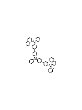 CC1C=CCCC1N(c1ccc(-c2ccc(N(c3ccccc3)c3ccc(-c4ccc(N(c5ccccc5)c5cccc6ccccc56)cc4)cc3)cc2)cc1)c1cccc2c1CCC=C2